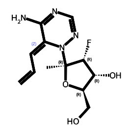 C=C/C=C1/C(N)=NC=NN1[C@]1(C)O[C@H](CO)[C@@H](O)[C@H]1F